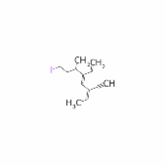 C#CC(/C=C(\C=C)C(C)CCI)=C/C